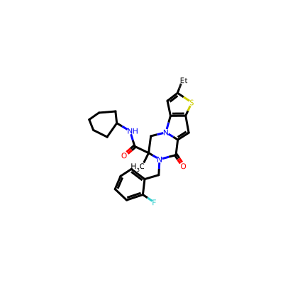 CCc1cc2c(cc3n2CC(C)(C(=O)NC2CCCCC2)N(Cc2ccccc2F)C3=O)s1